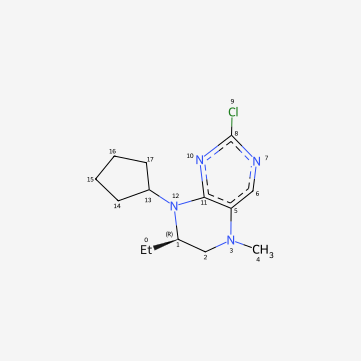 CC[C@@H]1CN(C)c2cnc(Cl)nc2N1C1CCCC1